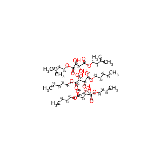 CC(C)CCOC(=O)C(O)C(O)C(=O)OCCC(C)C.CCCCCOC(=O)C(O)C(O)C(=O)OCCCCC.CCCCOC(=O)CC(O)C(=O)OCCCC